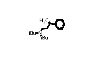 C=C(CCN(C(C)CC)C(C)CC)c1ccccc1